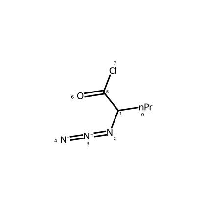 CCCC(N=[N+]=[N-])C(=O)Cl